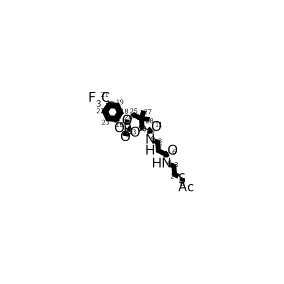 CC(=O)SCCNC(=O)CCNC(=O)[C@@H]1OP(=O)(Oc2ccc(C(F)(F)F)cc2)OCC1(C)C